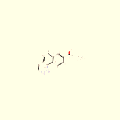 COC(=O)c1ccc2c(ccc3ccnnc32)c1